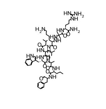 CC[C@H](C)[C@H](NC(=O)C(C)NC(=O)[C@H](Cc1c[nH]c2ccccc12)NC(=O)C(CC(C)C)NC(=O)[C@@H](NC(=O)C(CCCCN)NNC(C)(C)C(=O)N[C@@H](CCCNC(=N)N)C(N)=O)C(C)C)C(=O)NC(C=O)Cc1ccccc1